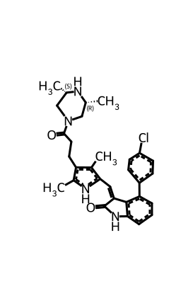 Cc1[nH]c(C=C2C(=O)Nc3cccc(-c4ccc(Cl)cc4)c32)c(C)c1CCC(=O)N1C[C@@H](C)N[C@@H](C)C1